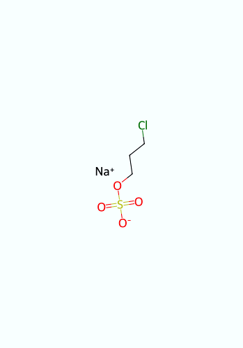 O=S(=O)([O-])OCCCCl.[Na+]